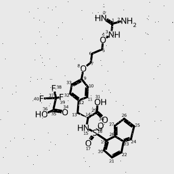 N=C(N)NOCCCOc1ccc(C[C@H](NS(=O)(=O)c2cccc3ccccc23)C(=O)O)cc1.O=C(O)C(F)(F)F